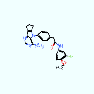 COc1ccc(NC(=O)Cc2ccc(-n3c4c(c5ncnc(N)c53)CCC4)cc2)cc1F